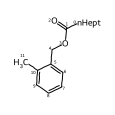 CCCCCCCC(=O)OCc1ccccc1C